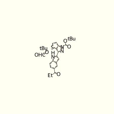 CC(C)(C)OC=O.CCC(=O)c1ccc2[nH]c(-c3nn(C(=O)OC(C)(C)C)c4ccsc34)cc2c1